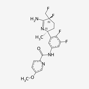 COc1ccc(C(=O)Nc2cc(F)c(F)c([C@]3(C)CC[C@@](F)(CF)C(N)=N3)c2)nc1